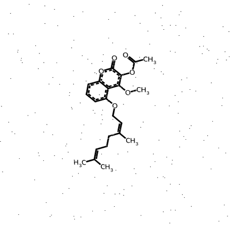 COc1c(OC(C)=O)c(=O)oc2cccc(OCC=C(C)CCC=C(C)C)c12